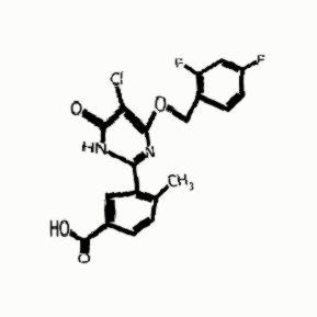 Cc1ccc(C(=O)O)cc1-c1nc(OCc2ccc(F)cc2F)c(Cl)c(=O)[nH]1